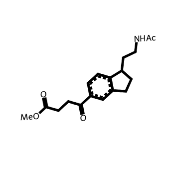 COC(=O)CCC(=O)c1ccc2c(c1)CCC2CCNC(C)=O